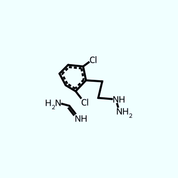 N=CN.NNCCc1c(Cl)cccc1Cl